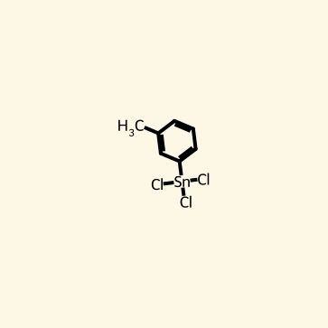 Cc1ccc[c]([Sn]([Cl])([Cl])[Cl])c1